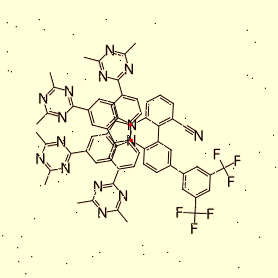 Cc1nc(C)nc(-c2ccc3c(c2)c2cc(-c4nc(C)nc(C)n4)ccc2n3-c2ccc(-c3cc(C(F)(F)F)cc(C(F)(F)F)c3)cc2-c2c(C#N)cccc2-n2c3ccc(-c4nc(C)nc(C)n4)cc3c3cc(-c4nc(C)nc(C)n4)ccc32)n1